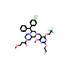 COCCC(=O)N1CCN2C(CN(Cc3c(OC)nc(OCCF)nc3OCC(F)(F)F)CC2C(c2ccccc2)c2ccccc2)C1.Cl.Cl